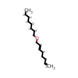 C=CCCCC=CCOCCCCCCCC